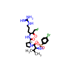 CC(C)C(NS(=O)(=O)c1ccc(Br)cc1)C(=O)N1CCC[C@H]1C(=O)NC(CCCNC(=N)N)C(=O)CF